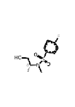 C[C@H](CO)N(C)S(=O)(=O)c1ccc(F)cc1